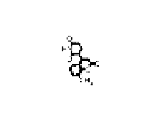 Cc1cccc2c(C3CCC(=O)NC3=O)cc(=O)oc12